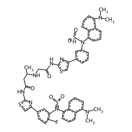 CC(CC(=O)Nc1nc(-c2ccc(F)c(N(c3cccc4c(N(C)C)cccc34)[SH](=O)=O)c2)cs1)NCC(=O)Nc1nc(-c2cccc(N(c3cccc4c(N(C)C)cccc34)[SH](=O)=O)c2)cs1